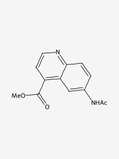 COC(=O)c1ccnc2ccc(NC(C)=O)cc12